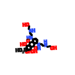 O=C1c2c(O)ccc(O)c2C(=O)c2c(NCCNCCO)ccc(NCCNCCO)c21.O=S(=O)(O)O